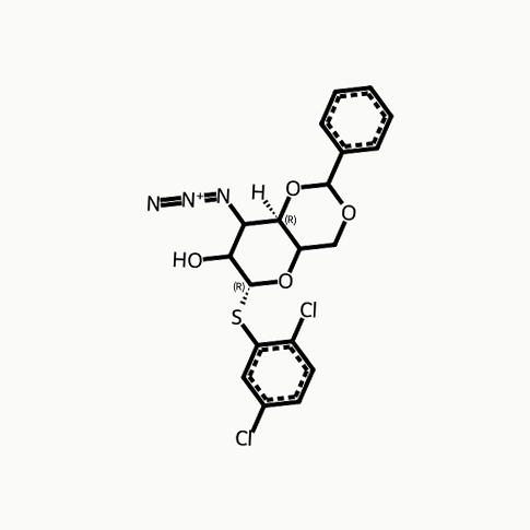 [N-]=[N+]=NC1C(O)[C@@H](Sc2cc(Cl)ccc2Cl)OC2COC(c3ccccc3)O[C@@H]21